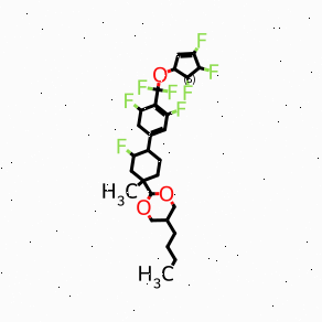 CCCCC1COC(C2(C)CCC(C3=CC(F)=C(C(F)(F)OC4C=C(F)C(F)[C@H]4F)C(F)C3)C(F)C2)OC1